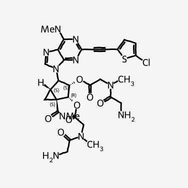 CNC(=O)[C@@]12C[C@@H]1C(n1cnc3c(NC)nc(C#Cc4ccc(Cl)s4)nc31)[C@H](OC(=O)CN(C)C(=O)CN)[C@@H]2OC(=O)CN(C)C(=O)CN